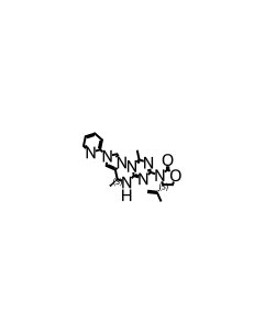 C=C(C)[C@H]1COC(=O)N1c1nc(C)nc(N[C@@H](C)c2cn(-c3ccccn3)cn2)n1